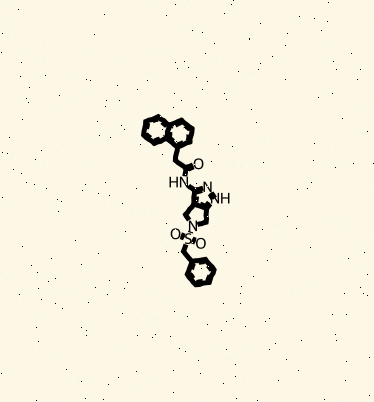 O=C(Cc1cccc2ccccc12)Nc1n[nH]c2c1CN(S(=O)(=O)Cc1ccccc1)C2